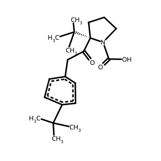 CC(C)(C)c1ccc(CC(=O)[C@@]2(C(C)(C)C)CCCN2C(=O)O)cc1